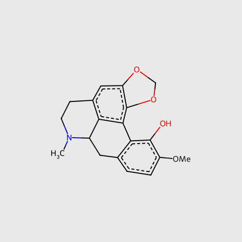 COc1ccc2c(c1O)-c1c3c(cc4c1C(C2)N(C)CC4)OCO3